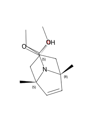 CC[C@@]1(O)C[C@]2(C)C=C[C@](C)(C1)N2C(=O)OC